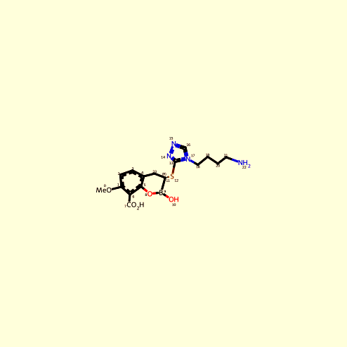 COc1ccc2c(c1C(=O)O)OB(O)[C@@H](Sc1nncn1CCCCN)C2